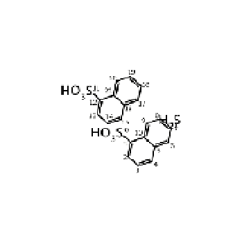 O=S(=O)(O)c1cccc2ccccc12.O=S(=O)(O)c1cccc2ccccc12.S